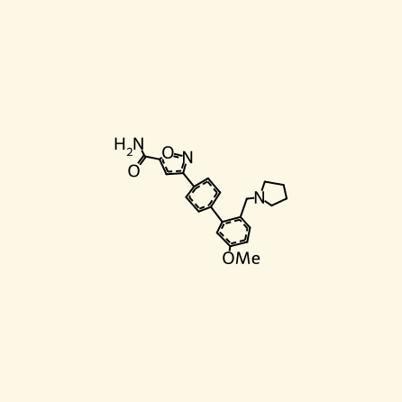 COc1ccc(CN2CCCC2)c(-c2ccc(-c3cc(C(N)=O)on3)cc2)c1